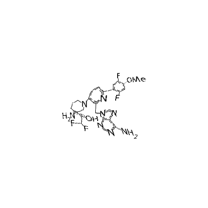 COc1cc(F)c(-c2ccc(N3CCC[C@](N)([C@H](O)C(F)F)C3)c(Cn3cnc4c(N)ncnc43)n2)cc1F